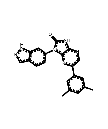 Cc1cc(C)cc(-c2cnc3[nH]c(=O)n(-c4ccc5cn[nH]c5c4)c3n2)c1